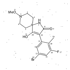 CON1CCC2(CC1)NC(=O)C(c1cc(Br)cc(F)c1C)=C2O